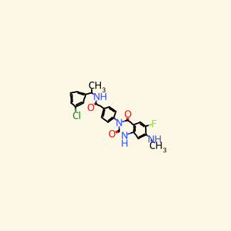 CNc1cc2[nH]c(=O)n(-c3ccc(C(=O)NC(C)c4cccc(Cl)c4)cc3)c(=O)c2cc1F